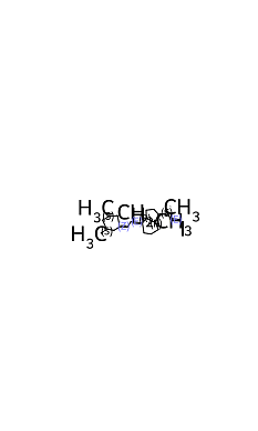 C=C1/C(=C\C=C2/CCC[C@]3(C)C([C@H](C)/C=C/I)CC[C@@H]23)C[C@@H](C)C[C@@H]1C